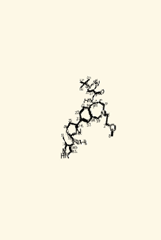 COCCN1CC[C@@H](NC(=O)c2cn(C(C)(C)C)nn2)c2ccc(-c3ccnc(Nc4c[nH]nc4C)n3)cc2C1